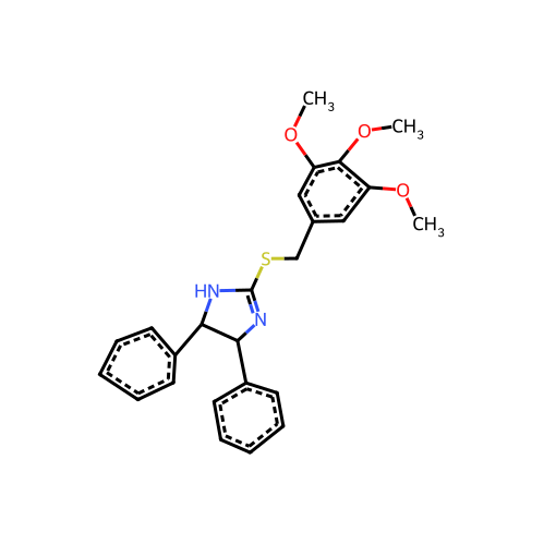 COc1cc(CSC2=NC(c3ccccc3)C(c3ccccc3)N2)cc(OC)c1OC